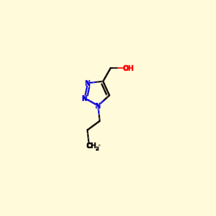 [CH2]CCn1cc(CO)nn1